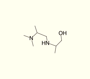 CC(CO)NCC(C)N(C)C